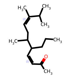 CCCC(/C=C\C(C)=O)C(C)C/C=C(/C)C(C)C